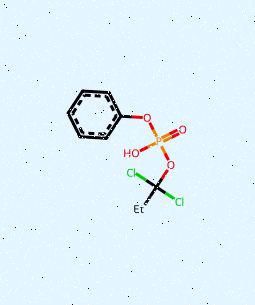 CCC(Cl)(Cl)OP(=O)(O)Oc1ccccc1